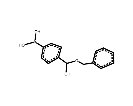 OB(O)c1ccc(C(O)OCc2ccccc2)cc1